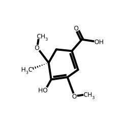 COC1=C(O)[C@@](C)(OC)CC(C(=O)O)=C1